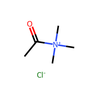 CC(=O)[N+](C)(C)C.[Cl-]